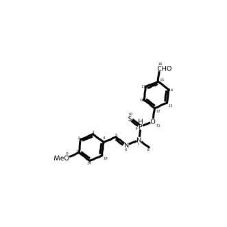 COc1ccc(/C=N/N(C)[PH](=S)Oc2ccc(C=O)cc2)cc1